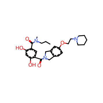 CCCN(C)C(=O)c1cc(C(=O)N2Cc3ccc(OCCN4CCCCC4)cc3C2)c(O)cc1O